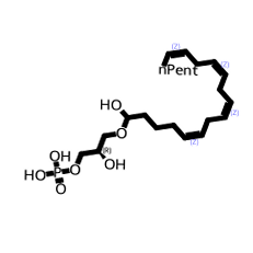 CCCCC/C=C\C/C=C\C/C=C\C/C=C\CCCC(O)OC[C@@H](O)COP(=O)(O)O